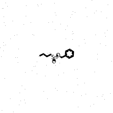 CCC[CH2][Sn](=[O])[O]Cc1ccccc1